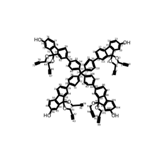 C#CCOC1(OCC#C)c2cc(O)ccc2-c2ccc(-c3ccc(C(c4ccc(-c5ccc6c(c5)C(OCC#C)(OCC#C)c5cc(O)ccc5-6)cc4)(c4ccc(-c5ccc6c(c5)C(OCC#C)(OCC#C)c5cc(O)ccc5-6)cc4)c4ccc(-c5ccc6c(c5)C(OCC#C)(OCC#C)c5cc(O)ccc5-6)cc4)cc3)cc21